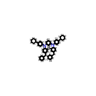 c1ccc(Cc2ccc3c(c2)B2c4cc(Cc5ccccc5)ccc4N(c4ccc(C5CCCCC5)cc4)c4cccc(c42)N3c2ccc(C3CCCCC3)cc2)cc1